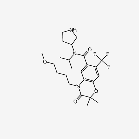 COCCCCN1C(=O)C(C)(C)Oc2cc(C(F)(F)F)c(C(=O)N(C(C)C)C3CCNC3)cc21